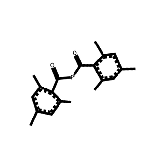 Cc1cc(C)c(C(=O)[P]C(=O)c2c(C)cc(C)cc2C)c(C)c1